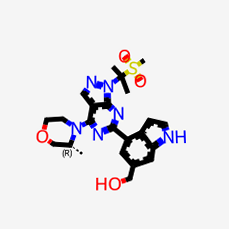 C[C@@H]1COCCN1c1nc(-c2cc(CO)cc3[nH]ccc23)nc2c1cnn2C(C)(C)S(C)(=O)=O